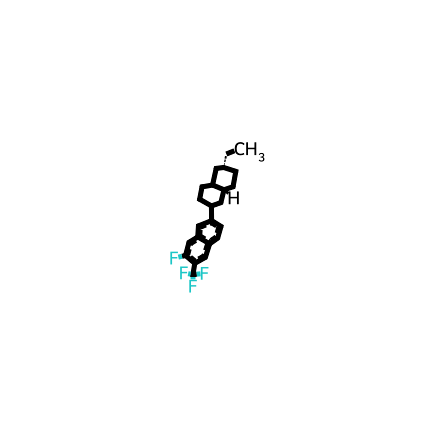 CC[C@@H]1CC[C@@H]2CC(c3ccc4cc(C(F)(F)F)c(F)cc4c3)CCC2C1